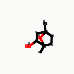 CCC12CCC(C)(O1)C(O)C2